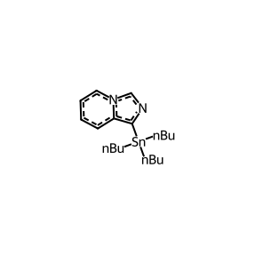 CCC[CH2][Sn]([CH2]CCC)([CH2]CCC)[c]1ncn2ccccc12